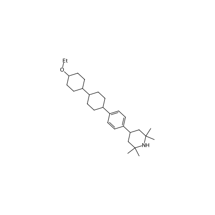 CCOC1CCC(C2CCC(c3ccc(C4CC(C)(C)NC(C)(C)C4)cc3)CC2)CC1